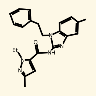 CCn1nc(C)cc1C(=O)Nc1nc2cc(C)ccc2n1CCc1ccccc1